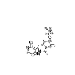 Cc1cc(C(C)n2cc3c(Cl)nccc3n2)cnc1OCC(F)(F)F